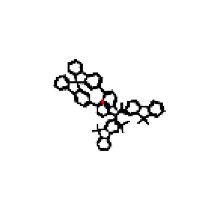 CC(C)CC(c1ccc(-c2ccc3c(c2)C2(c4ccccc4-3)c3ccccc3-c3ccc(-c4ccc(N(c5ccc6c(c5)C(C)(C)c5ccccc5-6)c5ccc6c(c5)C(C)(C)c5ccccc5-6)cc4)cc32)cc1)C(C)C